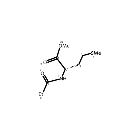 CCC(=O)N[C@@H](CCSC)C(=O)OC